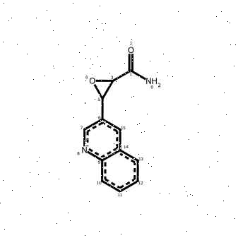 NC(=O)C1OC1c1cnc2ccccc2c1